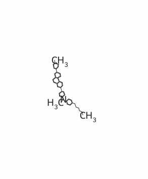 CCCCCCc1ccc(N(C)c2ccc(-c3ccc4c(ccc5cc(-c6ccc(C)cc6)ccc54)c3)cc2)cc1